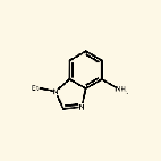 CCn1cnc2c(N)cccc21